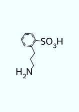 NCCCc1ccccc1S(=O)(=O)O